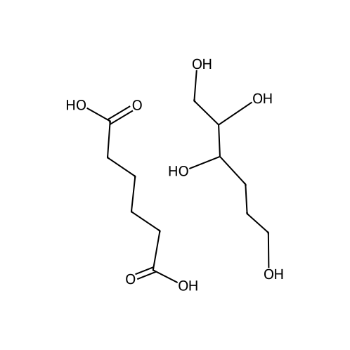 O=C(O)CCCCC(=O)O.OCCCC(O)C(O)CO